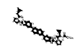 COC(=O)N[C@H](C(=O)N1CCC[C@H]1c1nc2ccc(-c3ccc4cc(-c5ccc6nc([C@@H]7CCCN7C(=O)CC7CC7)[nH]c6c5)ccc4c3)cc2[nH]1)C1CC1